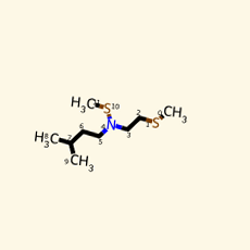 CSCCN(CCC(C)C)SC